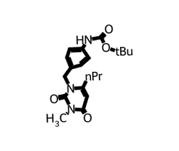 CCCc1cc(=O)n(C)c(=O)n1Cc1ccc(NC(=O)OC(C)(C)C)cc1